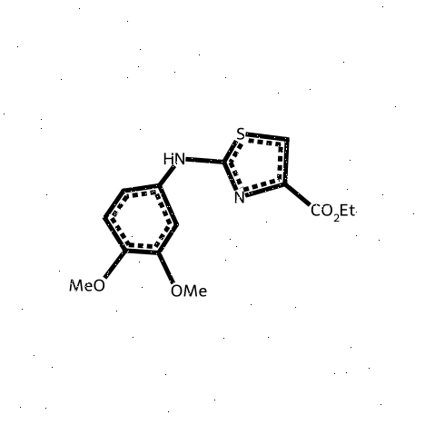 CCOC(=O)c1csc(Nc2ccc(OC)c(OC)c2)n1